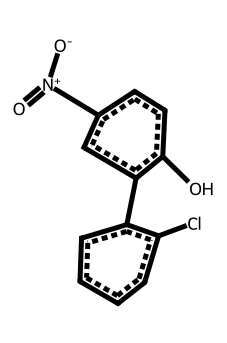 O=[N+]([O-])c1ccc(O)c(-c2ccccc2Cl)c1